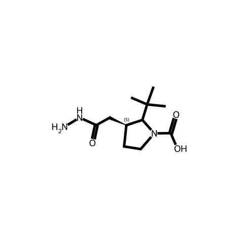 CC(C)(C)C1[C@H](CC(=O)NN)CCN1C(=O)O